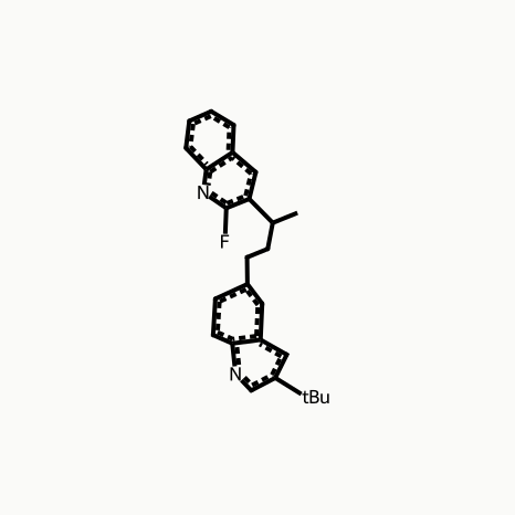 CC(CCc1ccc2ncc(C(C)(C)C)cc2c1)c1cc2ccccc2nc1F